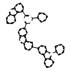 c1ccc(C2N=C(c3cccc4oc5ccccc5c34)N=C(c3ccc4oc5ccc(-c6ccc7c(c6)c6ccccc6n7-c6ccccc6)cc5c4c3)N2)cc1